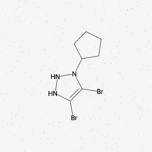 BrC1=C(Br)N(C2CCCC2)NN1